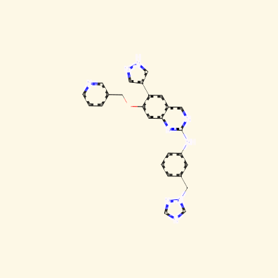 c1cncc(COc2cc3nc(Nc4cccc(Cn5cncn5)c4)ncc3cc2-c2cn[nH]c2)c1